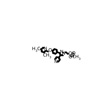 Cc1cnc(COc2ccc(-c3nn(CCOS(C)(=O)=O)cc3-c3ccncc3)cc2)c(C)c1